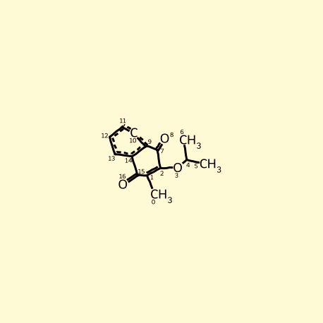 CC1=C(OC(C)C)C(=O)c2ccccc2C1=O